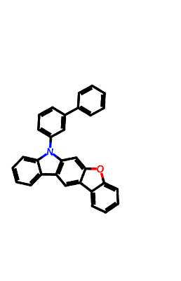 c1ccc(-c2cccc(-n3c4ccccc4c4cc5c(cc43)oc3ccccc35)c2)cc1